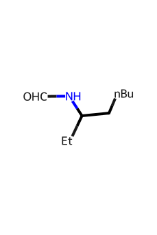 CCCCCC(CC)NC=O